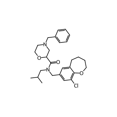 CC(C)CN(Cc1cc(Cl)c2c(c1)CCCCO2)C(=O)C1CN(Cc2ccccc2)CCO1